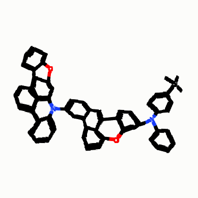 C[Si](C)(C)c1ccc(N(c2ccccc2)c2ccc3c(c2)Oc2cccc4c2c-3cc2ccc(N(c3ccc5c(c3)oc3ccccc35)c3ccccc3-c3ccccc3)cc24)cc1